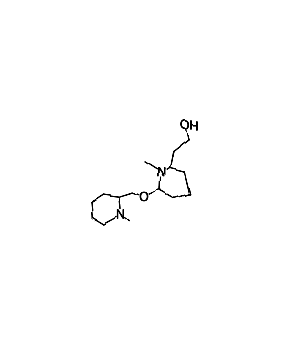 CN1CCCCC1COC1CCCC(CCO)N1C